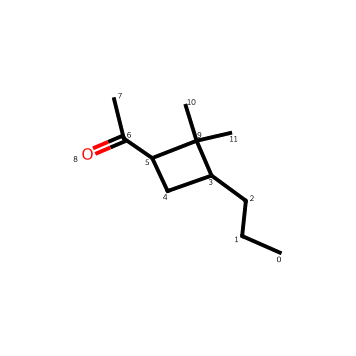 CCCC1CC(C(C)=O)C1(C)C